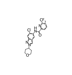 O=C(Nc1cc2cn(C3CCOCC3)nc2cc1Cl)c1cccc(C(F)(F)F)n1